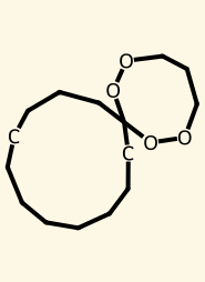 C1CCCCCC2(CCCCC1)OOCCCOO2